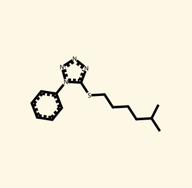 CC(C)CCCCSc1nnnn1-c1ccccc1